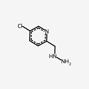 NNCc1ccc(Cl)cn1